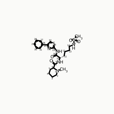 CN1CCCCC1C(=O)N[C@@H](CCCCNS(C)(=O)=O)C(=O)Nc1nc(-c2ccccc2)cs1